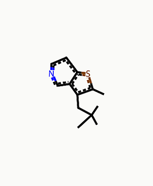 Cc1sc2ccncc2c1CC(C)(C)C